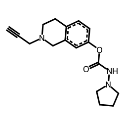 C#CCN1CCc2ccc(OC(=O)NN3CCCC3)cc2C1